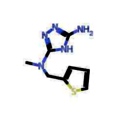 CN(Cc1cccs1)c1nnc(N)[nH]1